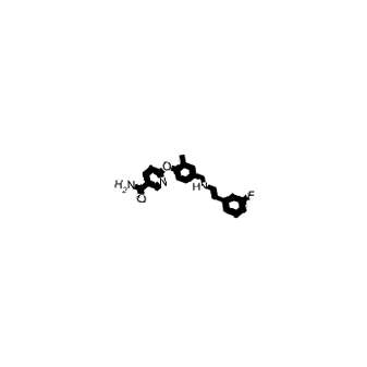 Cc1cc(CNCCc2cccc(F)c2)ccc1Oc1ccc(C(N)=O)cn1